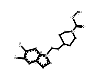 CC(C)(C)OC(=O)N1CCC(CCn2ccc3cc(Br)c(Cl)cc32)CC1